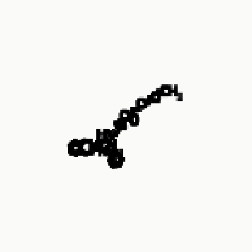 CCOCCOCCC(=O)O[C@H]1C[C@@H](CNc2cc(N3CCc4ccccc4CC3)nc(-c3ccccn3)n2)C1